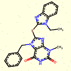 CCn1c(Sc2nc3c(c(=O)[nH]c(=O)n3C)n2Cc2ccccc2)nc2ccccc21